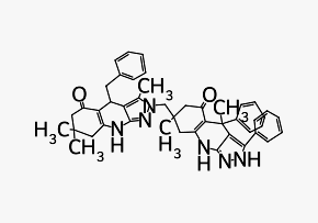 Cc1c2c(nn1CC1(C)CC(=O)C3=C(C1)Nc1n[nH]c(-c4ccccc4)c1C3(C)c1ccccc1)NC1=C(C(=O)CC(C)(C)C1)C2Cc1ccccc1